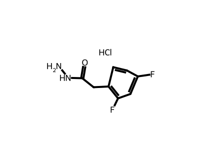 Cl.NNC(=O)Cc1ccc(F)cc1F